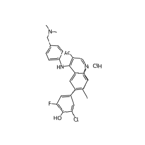 CC(=O)c1cnc2cc(C)c(-c3cc(F)c(O)c(Cl)c3)cc2c1Nc1ccc(CN(C)C)cc1.Cl